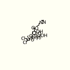 O=C(O)C(F)(F)F.O=C(OCCCn1ccnc1)c1ccc(NS(=O)(=O)c2cc(Cl)c(Cl)s2)cc1O